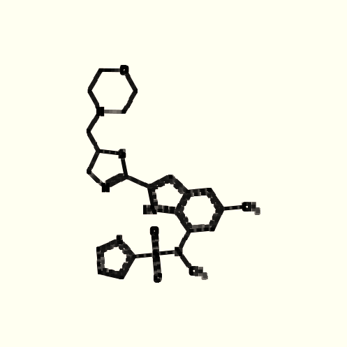 Cc1cc(N(C)S(=O)(=O)c2cccs2)c2[nH]c(C3=NCC(CN4CCOCC4)S3)cc2c1